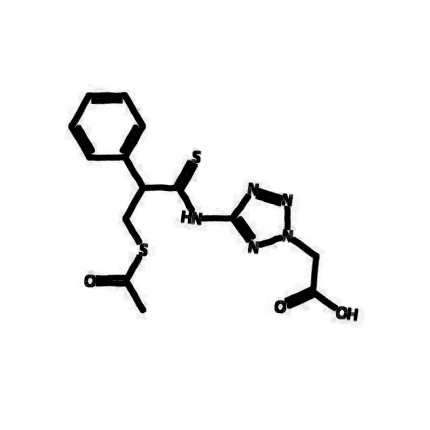 CC(=O)SCC(C(=S)Nc1nnn(CC(=O)O)n1)c1ccccc1